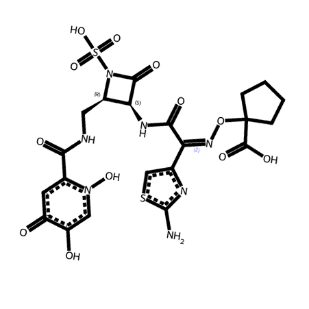 Nc1nc(/C(=N/OC2(C(=O)O)CCCC2)C(=O)N[C@@H]2C(=O)N(S(=O)(=O)O)[C@@H]2CNC(=O)c2cc(=O)c(O)cn2O)cs1